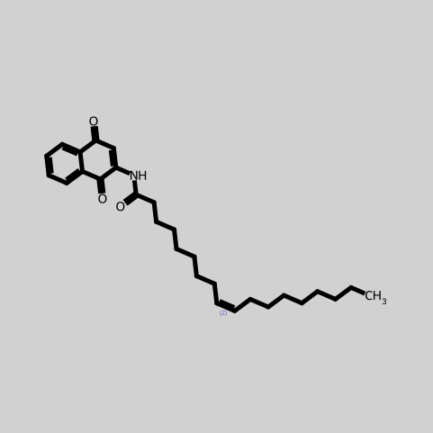 CCCCCCCC/C=C\CCCCCCCC(=O)NC1=CC(=O)c2ccccc2C1=O